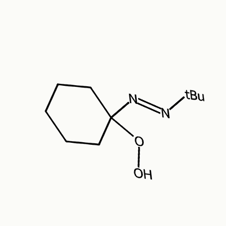 CC(C)(C)/N=N/C1(OO)CCCCC1